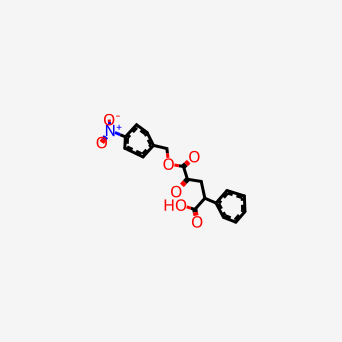 O=C(CC(C(=O)O)c1ccccc1)C(=O)OCc1ccc([N+](=O)[O-])cc1